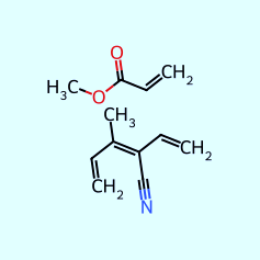 C=CC(=O)OC.C=CC(C)=C(C#N)C=C